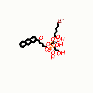 O=C(CCCC(=O)c1ccc2cc3ccccc3cc2c1)OC([C@H](CO)OC(=O)CCCCCBr)[PH](=O)C(O)C(O)CO